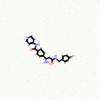 N[C@H](CC(=O)NCc1ccc(F)cc1)c1ccc(C(=O)Nc2ccncc2)cc1